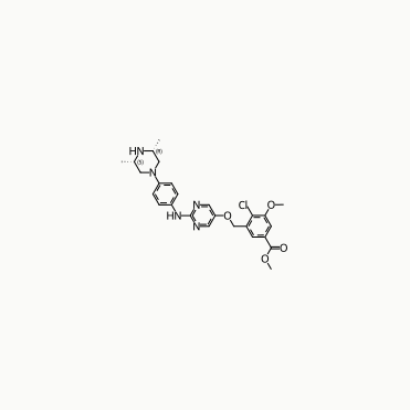 COC(=O)c1cc(COc2cnc(Nc3ccc(N4C[C@@H](C)N[C@@H](C)C4)cc3)nc2)c(Cl)c(OC)c1